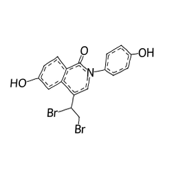 O=c1c2ccc(O)cc2c(C(Br)CBr)cn1-c1ccc(O)cc1